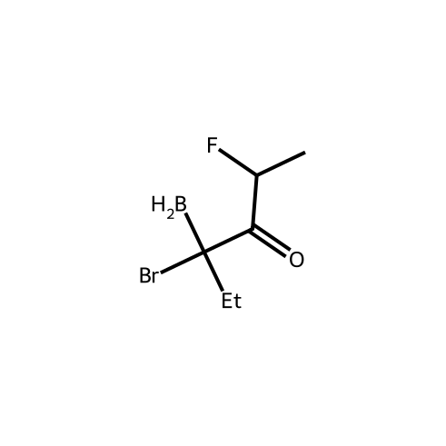 BC(Br)(CC)C(=O)C(C)F